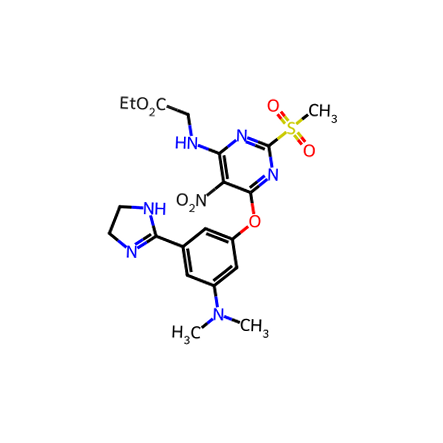 CCOC(=O)CNc1nc(S(C)(=O)=O)nc(Oc2cc(C3=NCCN3)cc(N(C)C)c2)c1[N+](=O)[O-]